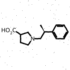 C[C@H](CN1CCC(C(=O)O)C1)c1ccccc1